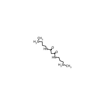 C[SiH2]CCCNC(=O)CC(=O)NCCC[SiH2]C